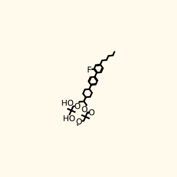 CCCCCc1ccc(-c2ccc(C3CCC(C(COC(=O)C(C)(C)COC)COC(O)C(C)(C)CO)CC3)cc2)c(F)c1